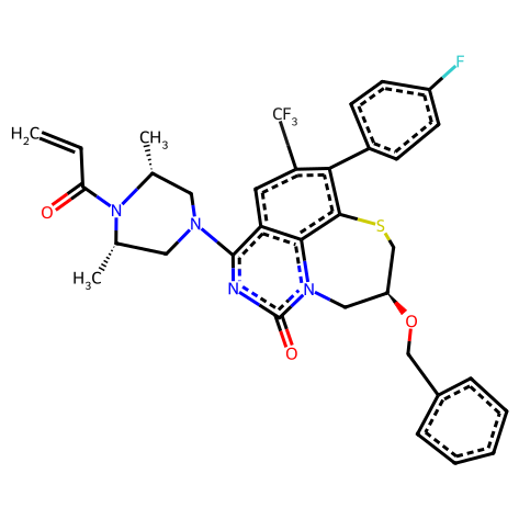 C=CC(=O)N1[C@H](C)CN(c2nc(=O)n3c4c(c(-c5ccc(F)cc5)c(C(F)(F)F)cc24)SC[C@@H](OCc2ccccc2)C3)C[C@@H]1C